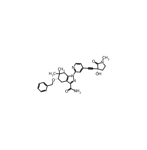 CN1CC[C@@](O)(C#Cc2ccnc(-n3nc(C(N)=O)c4c3CC(C)(C)[C@@H](OCc3ccccc3)C4)c2)C1=O